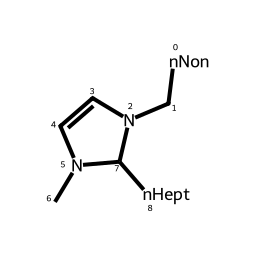 CCCCCCCCCCN1C=CN(C)C1CCCCCCC